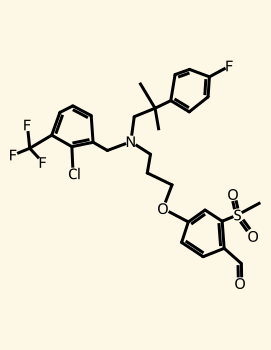 CC(C)(CN(CCCOc1ccc(C=O)c(S(C)(=O)=O)c1)Cc1cccc(C(F)(F)F)c1Cl)c1ccc(F)cc1